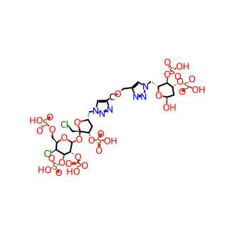 O=S(=O)(O)OC[C@H]1O[C@@H](O[C@]2(CCl)O[C@H](Cn3cc(COCc4cn(C[C@H]5O[C@H](O)C[C@@H](OS(=O)(=O)O)[C@@H]5OS(=O)(=O)O)nn4)nn3)C[C@@H]2OS(=O)(=O)O)[C@H](OS(=O)(=O)O)[C@@H](OS(=O)(=O)O)[C@H]1Cl